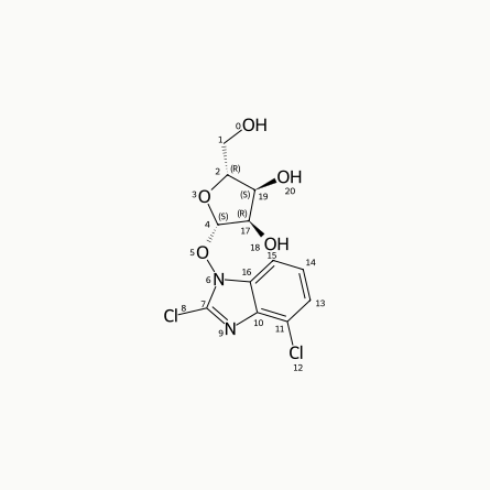 OC[C@H]1O[C@@H](On2c(Cl)nc3c(Cl)cccc32)[C@H](O)[C@@H]1O